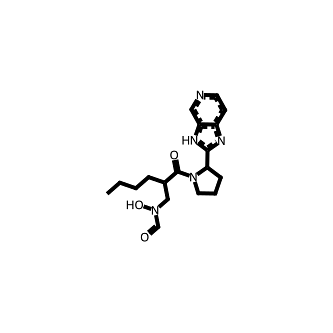 CCCCC(CN(O)C=O)C(=O)N1CCCC1c1nc2ccncc2[nH]1